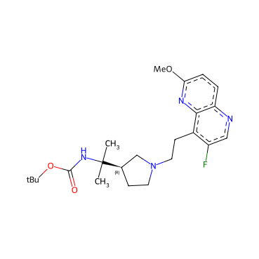 COc1ccc2ncc(F)c(CCN3CC[C@@H](C(C)(C)NC(=O)OC(C)(C)C)C3)c2n1